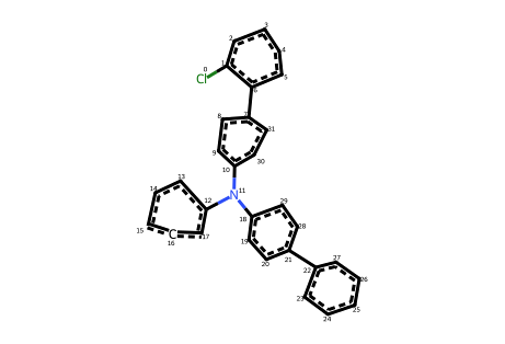 Clc1ccccc1-c1ccc(N(c2ccccc2)c2ccc(-c3ccccc3)cc2)cc1